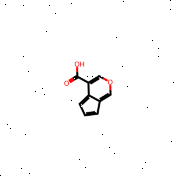 O=C(O)c1cocc2cccc1-2